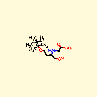 CC(C)(C)[Si](C)(C)OCCC(CO)NCC(=O)O